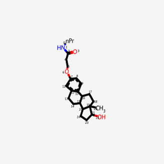 CCCNC(=O)CCOc1ccc2c(c1)CCC1C2CCC2(C)C(O)CCC12